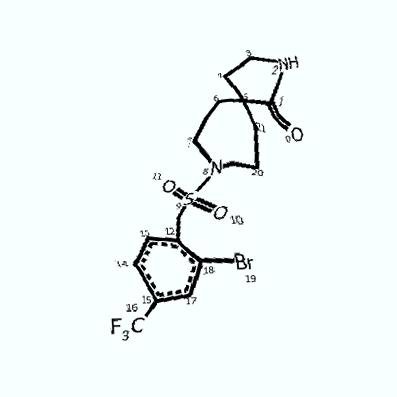 O=C1NCCC12CCN(S(=O)(=O)c1ccc(C(F)(F)F)cc1Br)CC2